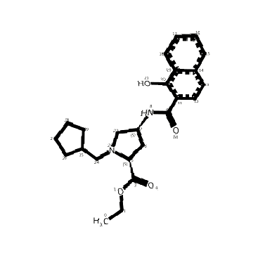 CCOC(=O)[C@@H]1C[C@H](NC(=O)c2ccc3ccccc3c2O)CN1CC1CCCC1